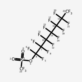 O=S(=O)(OC(F)(F)C(F)(F)C(F)(F)C(F)(F)C(F)(F)C(F)(F)C(F)(F)F)C(F)(F)F